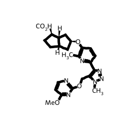 COc1ccnc(OCc2c(-c3ccc(O[C@H]4C[C@@H]5CC[C@@H](C(=O)O)[C@@H]5C4)c(C)n3)nnn2C)n1